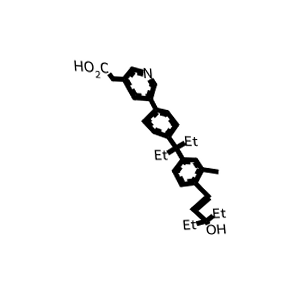 CCC(O)(/C=C/c1ccc(C(CC)(CC)c2ccc(-c3cncc(CC(=O)O)c3)cc2)cc1C)CC